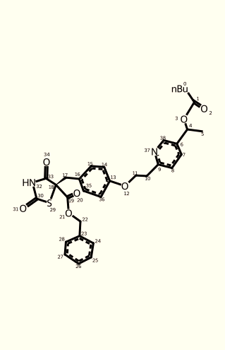 CCCCC(=O)OC(C)c1ccc(CCOc2ccc(C[C@@]3(C(=O)OCc4ccccc4)SC(=O)NC3=O)cc2)nc1